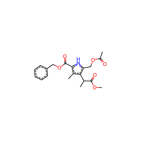 COC(=O)C(C)c1c(COC(C)=O)[nH]c(C(=O)OCc2ccccc2)c1C